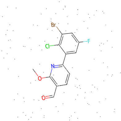 COc1nc(-c2cc(F)cc(Br)c2Cl)ccc1C=O